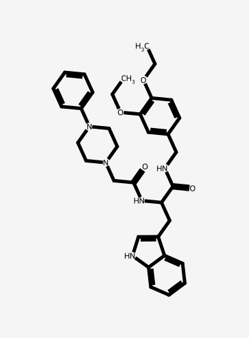 CCOc1ccc(CNC(=O)C(Cc2c[nH]c3ccccc23)NC(=O)CN2CCN(c3ccccc3)CC2)cc1OCC